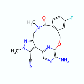 CN1Cc2nn(C)c(C#N)c2-c2cnc(N)c(n2)OCc2cc(F)ccc2C1=O